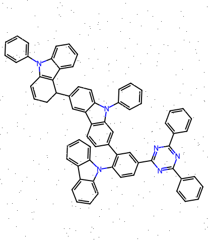 C1=Cc2c(c3ccccc3n2-c2ccccc2)C(c2ccc3c(c2)c2ccc(-c4cc(-c5nc(-c6ccccc6)nc(-c6ccccc6)n5)ccc4-n4c5ccccc5c5ccccc54)cc2n3-c2ccccc2)C1